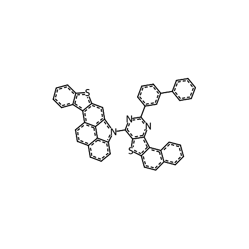 c1ccc(-c2cccc(-c3nc(-n4c5cccc6ccc7c8c(cc4c7c65)sc4ccccc48)c4sc5ccc6ccccc6c5c4n3)c2)cc1